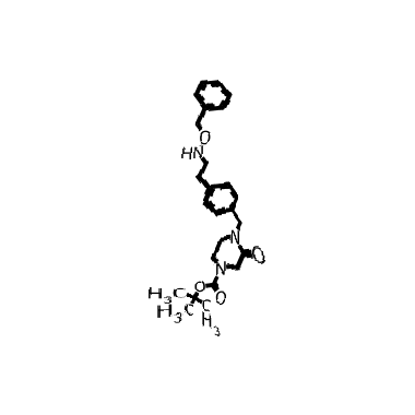 CC(C)(C)OC(=O)N1CCN(Cc2ccc(CCNOCc3ccccc3)cc2)C(=O)C1